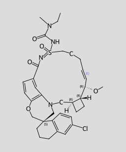 CCN(C)C(=O)NS1(=O)=NC(=O)c2ccc3c(c2)N(C[C@@H]2CC[C@H]2[C@@H](OC)/C=C/CCC1)C[C@@]1(CCCc2cc(Cl)ccc21)CO3